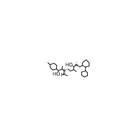 CC1CCC(C(O)C(C)[C@H](CCC(C)C(O)[C@H](C)CC2CCCCC2C2CCCCC2)[C@@H](C)I)CC1